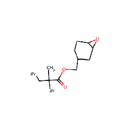 CC(C)CC(C)(C(=O)OCC1CCC2OC2C1)C(C)C